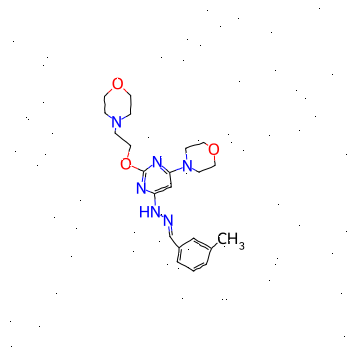 Cc1cccc(C=NNc2cc(N3CCOCC3)nc(OCCN3CCOCC3)n2)c1